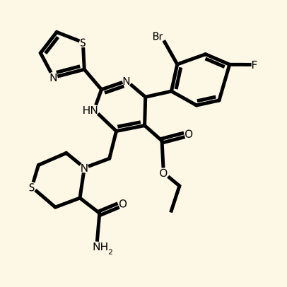 CCOC(=O)C1=C(CN2CCSCC2C(N)=O)NC(c2nccs2)=NC1c1ccc(F)cc1Br